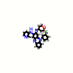 Cc1ncccc1Nc1cc2nc3ccccc3n(-c3cccc(F)c3)c-2c/c1=N\C1CCOCC1